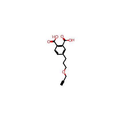 C#CCOCCCc1ccc(C(=O)O)c(C(=O)O)c1